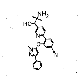 Cn1nc(-c2ccccc2)cc1Oc1cc(C#N)ccc1-c1ccc(C(O)C(C)(C)N)cn1